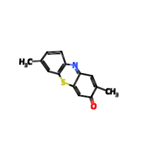 Cc1ccc2nc3cc(C)c(=O)cc-3sc2c1